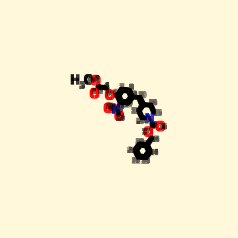 COC(=O)COc1ccc(C=C2CCN(C(=O)OCc3ccccc3)CC2)cc1[N+](=O)[O-]